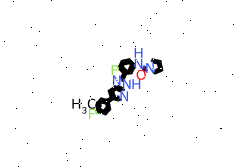 Cc1cc(-c2cnc3[nH]c(-c4cc(NC(=O)N5CCCC5)ccc4F)nc3c2)ccc1F